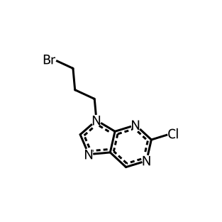 Clc1ncc2ncn(CCCBr)c2n1